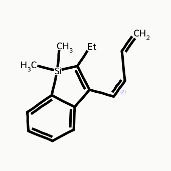 C=C/C=C\C1=C(CC)[Si](C)(C)c2ccccc21